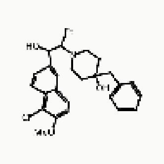 CCC(C(O)c1ccc2c(Cl)c(OC)ccc2c1)N1CCC(O)(Cc2ccccc2)CC1